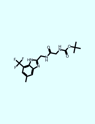 Cc1cc(C(F)(F)F)c2[nH]c(CNC(=O)CNC(=O)OC(C)(C)C)nc2c1